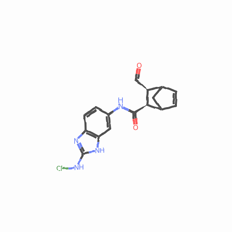 O=C[C@H]1C2C=CC(C2)[C@H]1C(=O)Nc1ccc2nc(NCl)[nH]c2c1